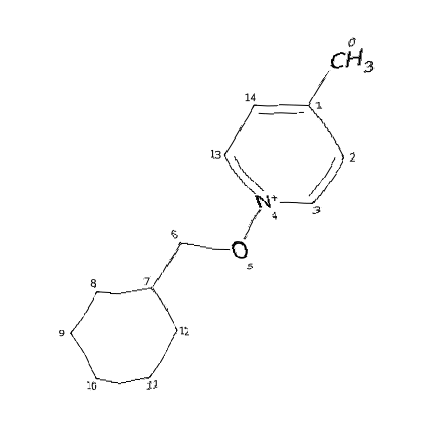 Cc1cc[n+](OCC2CCCCC2)cc1